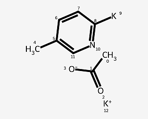 CC(=O)[O-].Cc1cc[c]([K])nc1.[K+]